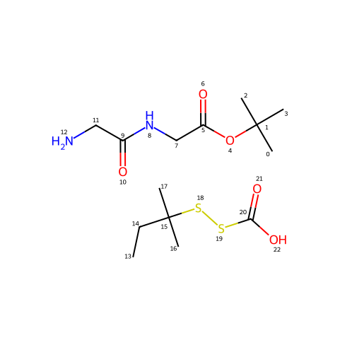 CC(C)(C)OC(=O)CNC(=O)CN.CCC(C)(C)SSC(=O)O